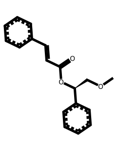 COC[C@H](OC(=O)/C=C/c1ccccc1)c1ccccc1